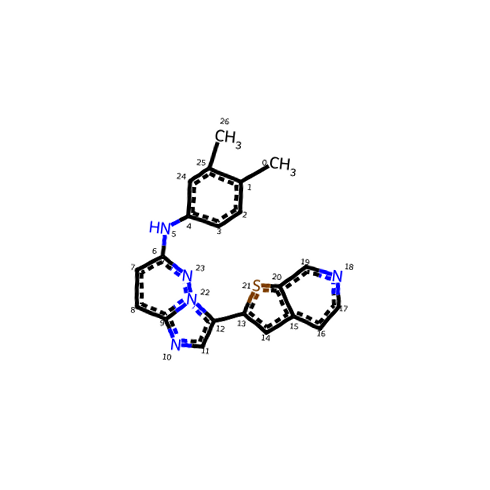 Cc1ccc(Nc2ccc3ncc(-c4cc5ccncc5s4)n3n2)cc1C